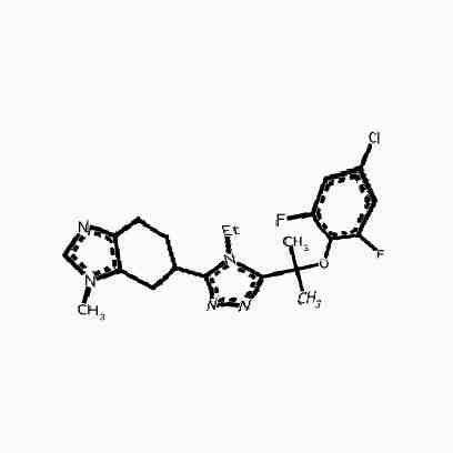 CCn1c(C2CCc3ncn(C)c3C2)nnc1C(C)(C)Oc1c(F)cc(Cl)cc1F